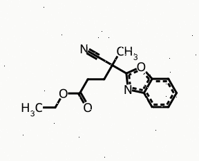 CCOC(=O)CCC(C)(C#N)c1nc2ccccc2o1